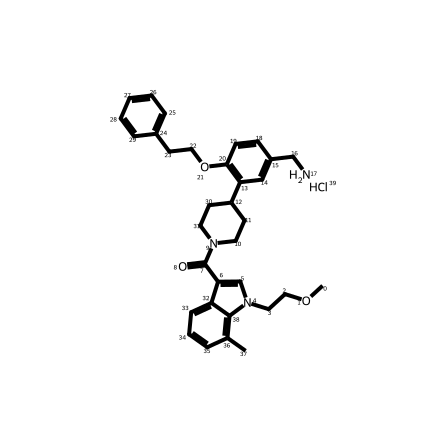 COCCn1cc(C(=O)N2CCC(c3cc(CN)ccc3OCCc3ccccc3)CC2)c2cccc(C)c21.Cl